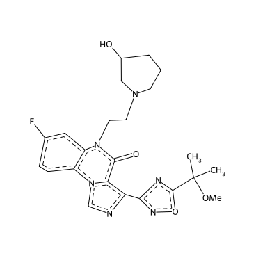 COC(C)(C)c1nc(-c2ncn3c2c(=O)n(CCN2CCCC(O)C2)c2cc(F)ccc23)no1